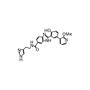 COc1ncccc1-c1ccc(O)c(-c2nc3ccc(C(=O)NCCc4c[nH]cn4)cc3[nH]2)c1